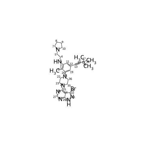 Cc1c(NCCN2CCCC2)cc(C#CC(C)(C)C)cc1N1CCN(c2ncnc3[nH]nc(Br)c23)CC1